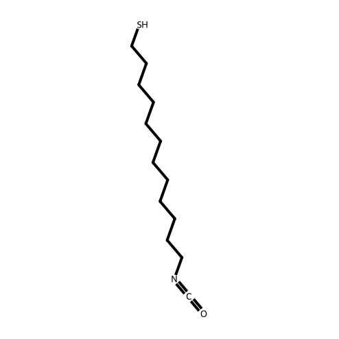 O=C=NCCCCCCCCCCCCS